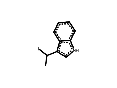 CC(I)c1c[nH]c2ccccc12